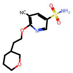 N#Cc1cc(S(N)(=O)=O)cnc1OCCC1CCCOC1